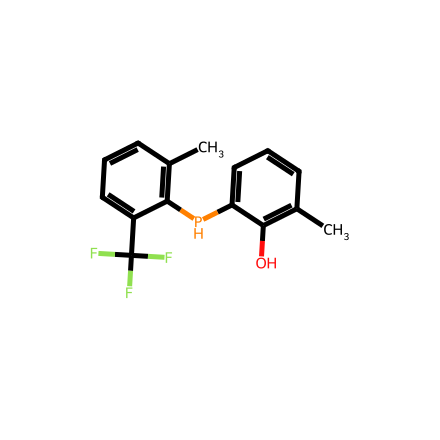 Cc1cccc(Pc2c(C)cccc2C(F)(F)F)c1O